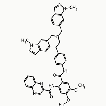 COc1cc(NC(=O)c2cnc3ccccc3n2)c(C(=O)Nc2ccc(CCN(Cc3ccc4cnn(C)c4c3)Cc3ccc4cnn(C)c4c3)cc2)cc1OC